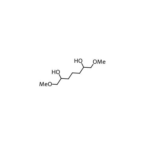 COCC(O)CCCC(O)COC